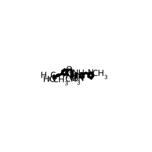 Cc1cccc(Cc2cnn(C(=O)NC3COc4ccc(C#CC(C)(C)O)cc4N(C)C3=O)c2)n1